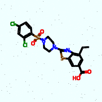 CCc1cc(C(=O)O)cc2sc(N3CCN(S(=O)(=O)c4ccc(Cl)cc4Cl)CC3)nc12